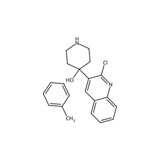 Cc1ccccc1.OC1(c2cc3ccccc3nc2Cl)CCNCC1